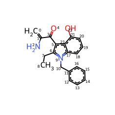 C=C(N)C(=O)c1c(CC)n(Cc2ccccc2)c2cccc(O)c12